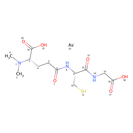 CN(C)[C@@H](CCC(=O)N[C@@H](CS)C(=O)NCC(=O)O)C(=O)O.[As]